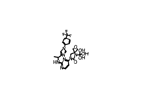 CC(Nc1nccc(N2CC3(COC3)N(C(O)(O)O)C2=O)n1)c1cn(-c2ccc(C(F)(F)F)cc2)cn1